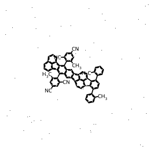 Cc1ccccc1-c1ccc(-c2ccccc2C)c2c1-c1ccc3c4cc5c(-c6c(C)cc(C#N)cc6C#N)c6c7cccc8cccc(c6c(-c6c(C)cc(C#N)cc6C#N)c5cc4c4ccc-2c1c34)c87